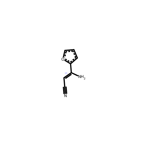 N#C/C=C(\N)c1ccco1